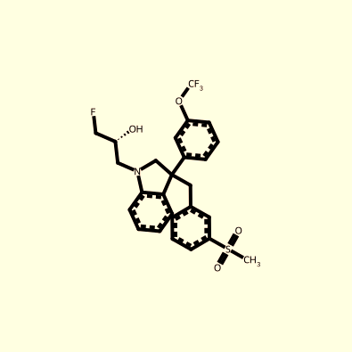 CS(=O)(=O)c1cccc(CC2(c3cccc(OC(F)(F)F)c3)CN(C[C@@H](O)CF)c3ccccc32)c1